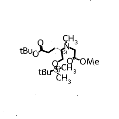 COC(=O)CN(C)[C@@H](CCC(=O)OC(C)(C)C)CO[Si](C)(C)C(C)(C)C